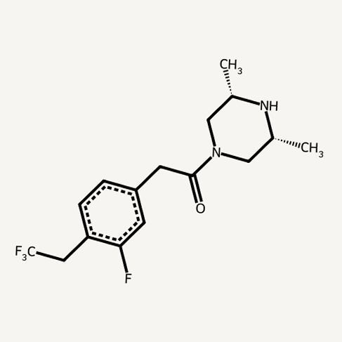 C[C@@H]1CN(C(=O)Cc2ccc(CC(F)(F)F)c(F)c2)C[C@H](C)N1